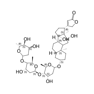 C[C@H]1O[C@@H](O[C@H]2[C@@H](O)CC(O[C@H]3CC[C@]4(C)C5C[C@@H](O)[C@]6(C)[C@@H](C7=CC(=O)OC7)CC[C@]6(O)[C@@H]5CC[C@@H]4C3)O[C@@H]2C)C[C@H](O)C1OC1C[C@H](O)[C@H](O)[C@@H](C)O1